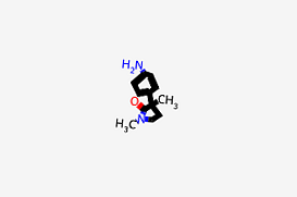 CN1CCC(C)(c2ccc(N)cc2)C1=O